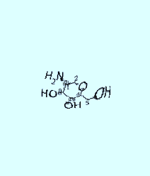 N[C@@H]1COC(CO)[C@H](O)C1O